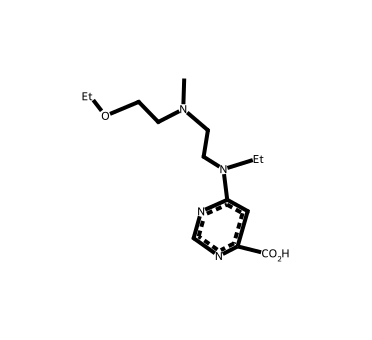 CCOCCN(C)CCN(CC)c1cc(C(=O)O)ncn1